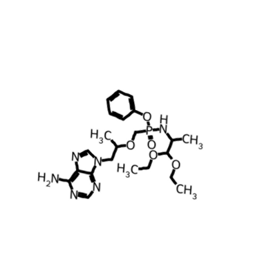 CCOC(OCC)C(C)NP(=O)(COC(C)Cn1cnc2c(N)ncnc21)Oc1ccccc1